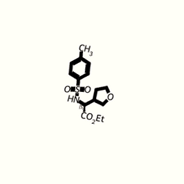 CCOC(=O)[C@@H](NS(=O)(=O)c1ccc(C)cc1)C1CCOC1